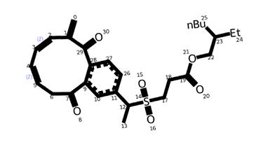 C=C1/C=C\C=C/CC(=O)c2cc(C(C)S(=O)(=O)CCC(=O)OCC(CC)CCCC)ccc2C1=O